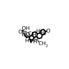 C=C[C@H]1CC2=CC(=O)CC[C@@H]2[C@H]2CC[C@@]3(C)[C@@H]([C@@H]4C[C@@H]4[C@@]3(O)/C=C\OC(=O)O)[C@@H]21